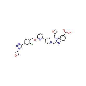 O=C(O)c1ccc2nc(CN3CCC(c4cccc(OCc5ccc(-c6cn(C7COC7)nn6)cc5F)n4)CC3)n(C[C@@H]3CCO3)c2c1